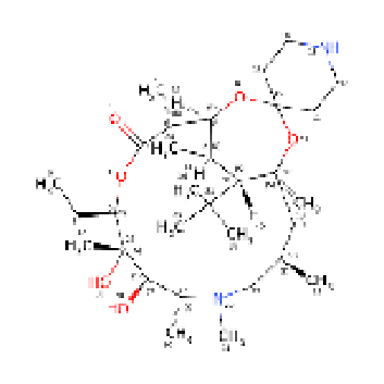 CC[C@H]1OC(=O)[C@H](C)[C@H]2OC3(CCNCC3)O[C@@](C)(C[C@@H](C)CN(C)[C@H](C)[C@@H](O)[C@]1(C)O)[C@H](C(C)(C)C)[C@H]2C